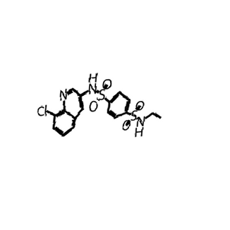 CCNS(=O)(=O)c1ccc(S(=O)(=O)Nc2cnc3c(Cl)cccc3c2)cc1